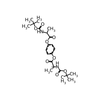 CC(NC(=O)OC(C)(C)C)C(=O)Oc1ccc(OC(=O)[C@H](C)NC(=O)OC(C)(C)C)cc1